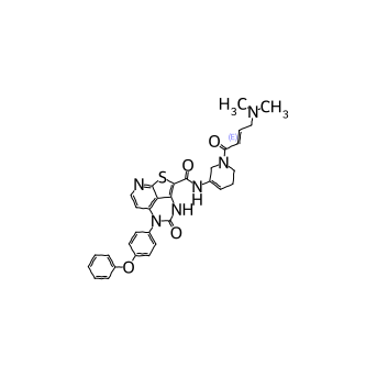 CN(C)C/C=C/C(=O)N1CCC=C(NC(=O)c2sc3nccc4c3c2NC(=O)N4c2ccc(Oc3ccccc3)cc2)C1